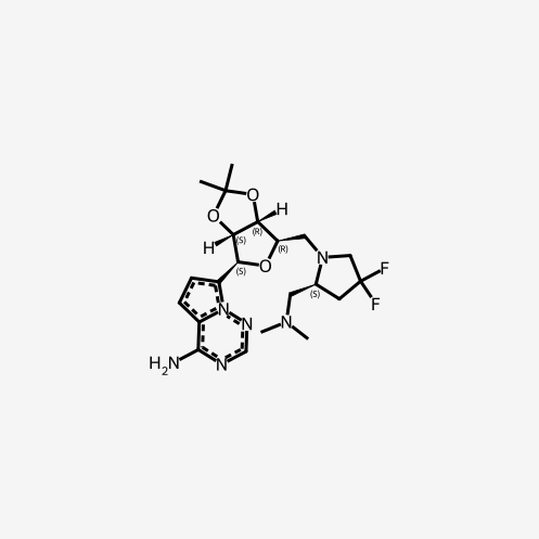 CN(C)C[C@@H]1CC(F)(F)CN1C[C@H]1O[C@@H](c2ccc3c(N)ncnn23)[C@@H]2OC(C)(C)O[C@@H]21